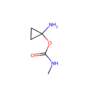 CNC(=O)OC1(N)CC1